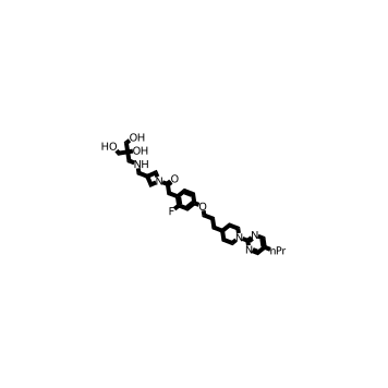 CCCc1cnc(N2CCC(CCCOc3ccc(CC(=O)N4CC(CNCC(O)(CO)CO)C4)c(F)c3)CC2)nc1